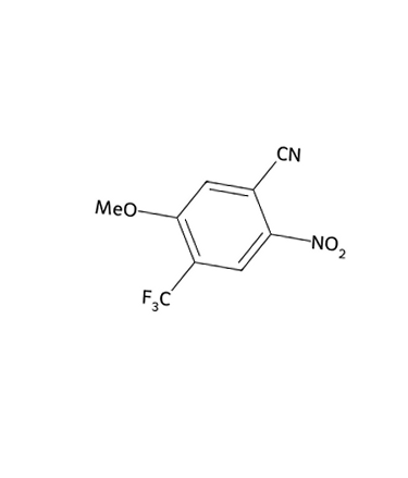 COc1cc(C#N)c([N+](=O)[O-])cc1C(F)(F)F